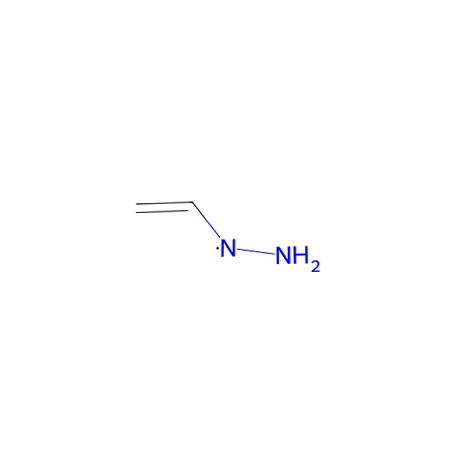 C=C[N]N